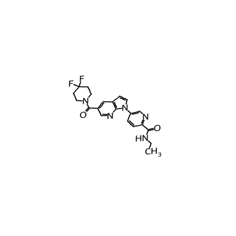 CCNC(=O)c1ccc(-n2ccc3cc(C(=O)N4CCC(F)(F)CC4)cnc32)cn1